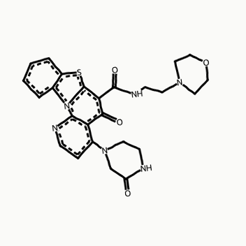 O=C1CN(c2ccnc3c2c(=O)c(C(=O)NCCN2CCOCC2)c2sc4ccccc4n23)CCN1